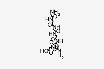 NCC(=O)NCC(=O)NCC(=O)NCC(=O)N[C@@H](CC(N)=O)C(=O)NCC(=O)O